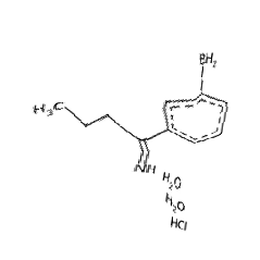 Bc1cccc(C(=N)CCC)c1.Cl.O.O